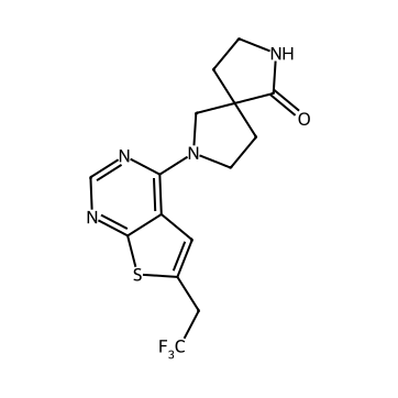 O=C1NCCC12CCN(c1ncnc3sc(CC(F)(F)F)cc13)C2